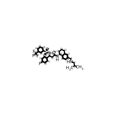 CC(C)CNCc1ccc2c(c1)CCC[C@H]2NC(=O)CC(NS(=O)(=O)c1cccc(C(F)(F)F)c1)c1ccc(F)cc1